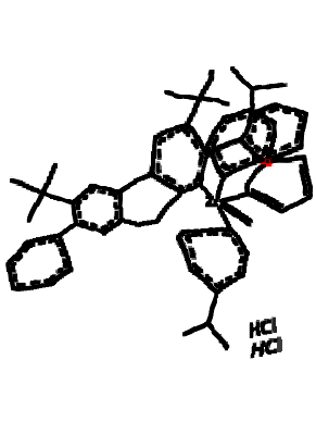 Cl.Cl.[CH2]=[Zr]([C]1=CC=CC1)([c]1ccc(C(C)C)cc1)([c]1ccc(C(C)C)cc1)[c]1c2c(cc(C(C)(C)C)c1-c1ccccc1)-c1cc(C(C)(C)C)c(-c3ccccc3)cc1C2